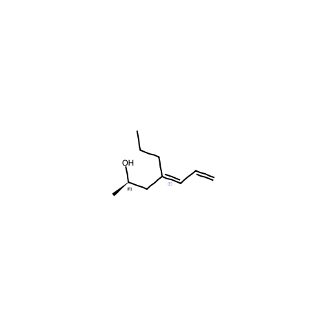 C=C/C=C(\CCC)C[C@@H](C)O